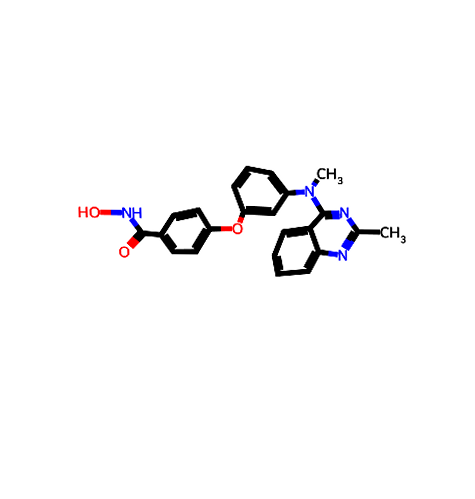 Cc1nc(N(C)c2cccc(Oc3ccc(C(=O)NO)cc3)c2)c2ccccc2n1